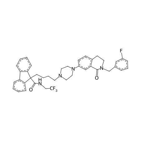 O=C1c2cc(N3CCN(CCCCC4(C(=O)NCC(F)(F)F)c5ccccc5-c5ccccc54)CC3)ccc2CCN1Cc1cccc(F)c1